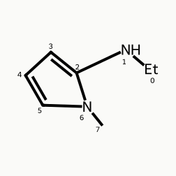 CCNc1cccn1C